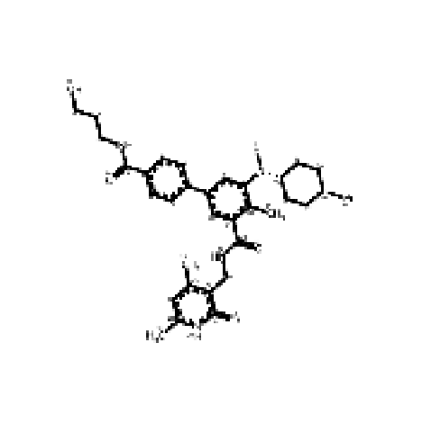 CCN(c1cc(-c2ccc(C(=O)NCCCO)cc2)cc(C(=O)NCc2c(C)cc(C)[nH]c2=O)c1C)[C@H]1CC[C@H](C(C)C)CC1